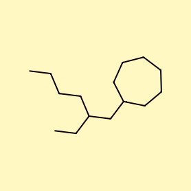 CCCCC(CC)C[C]1CCCCCC1